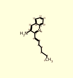 CCCCCC=Cc1nc2ccccc2cc1N